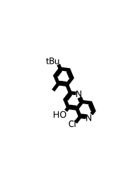 Cc1cc(C(C)(C)C)ccc1-c1cc(O)c2c(Cl)nccc2n1